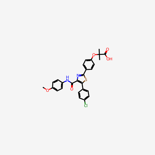 COc1ccc(NC(=O)c2nc(-c3ccc(OC(C)(C)C(=O)O)cc3)sc2-c2ccc(Cl)cc2)cc1